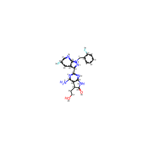 Nc1nc(-c2nn(Cc3ccccc3F)c3ncc(F)cc23)nc2c1C(CCO)C(=O)N2